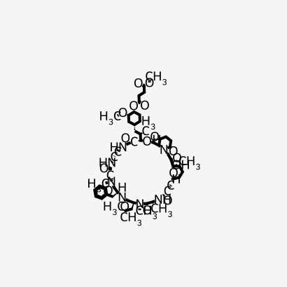 COC(=O)CCC(=O)O[C@@H]1CC[C@H](C[C@@H](C)[C@H]2CC(=O)NCCNC(=O)CN(C)C(=O)[C@H](Cc3ccccc3)NC(=O)[C@H](CC(C)C)N(C)C(=O)[C@H](C)NC(=O)CC[C@H]3CC[C@@H](C)[C@@](O)(O3)C(=O)C(=O)N3CCCC[C@H]3C(=O)O2)C[C@H]1OC